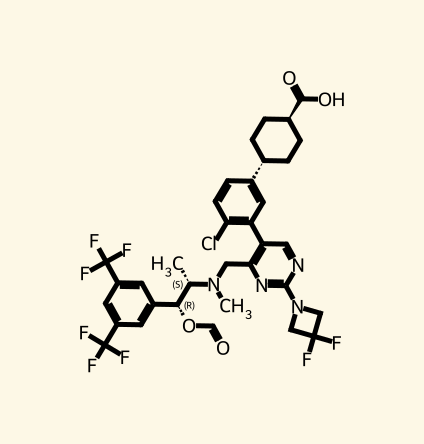 C[C@@H]([C@H](OC=O)c1cc(C(F)(F)F)cc(C(F)(F)F)c1)N(C)Cc1nc(N2CC(F)(F)C2)ncc1-c1cc([C@H]2CC[C@H](C(=O)O)CC2)ccc1Cl